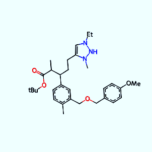 CCN1C=C(CCC(c2ccc(C)c(COCc3ccc(OC)cc3)c2)C(C)C(=O)OC(C)(C)C)N(C)N1